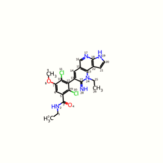 CCNC(=O)c1cc(OC)c(Cl)c(-c2cc3cnc4[nH]ccc4c3n(CC)c2=N)c1Cl